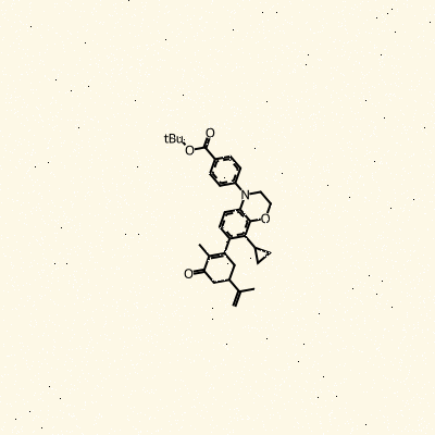 C=C(C)C1CC(=O)C(C)=C(c2ccc3c(c2C2CC2)OCCN3c2ccc(C(=O)OC(C)(C)C)cc2)C1